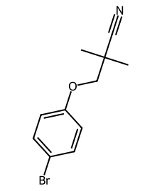 CC(C)(C#N)COc1ccc(Br)cc1